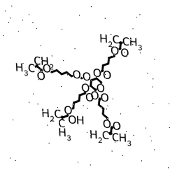 C=C(C)C(=O)OCCCCCOCO[C@H]1[C@H](OC(=O)CCCCOC(=O)C(=C)C)COC(OC(=O)CCCCOC(=O)C(=C)C)[C@@H]1OC(=O)CCCCOC(O)C(=C)C